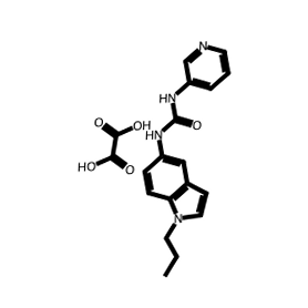 CCCn1ccc2cc(NC(=O)Nc3cccnc3)ccc21.O=C(O)C(=O)O